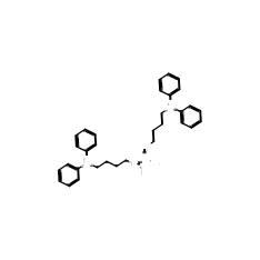 O=[PH](OCCCCN(c1ccccc1)c1ccccc1)OCCCCN(c1ccccc1)c1ccccc1